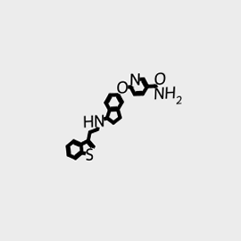 NC(=O)c1ccc(Oc2ccc3c(c2)CCC3NCCc2csc3ccccc23)nc1